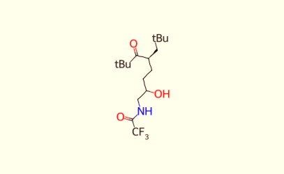 CC(C)(C)C[C@@H](CCC(O)CNC(=O)C(F)(F)F)C(=O)C(C)(C)C